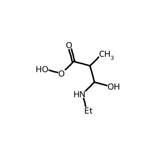 CCNC(O)C(C)C(=O)OO